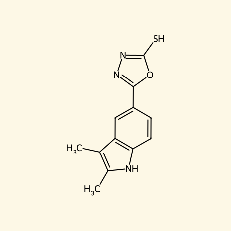 Cc1[nH]c2ccc(-c3nnc(S)o3)cc2c1C